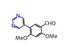 COc1cc(OC)c(-c2cncnc2)cc1C=O